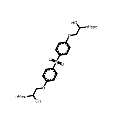 CCCCCCCC(O)COc1ccc(S(=O)(=O)c2ccc(OCC(O)CCCCCCC)cc2)cc1